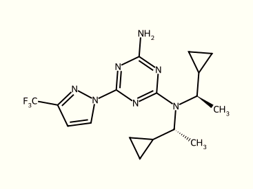 C[C@H](C1CC1)N(c1nc(N)nc(-n2ccc(C(F)(F)F)n2)n1)[C@H](C)C1CC1